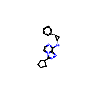 c1ccc([C@H]2C[C@@H]2Nc2nccn3c(C4CCCC4)nnc23)cc1